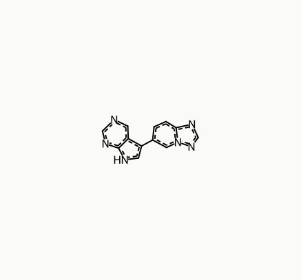 c1ncc2c(-c3ccc4ncnn4c3)c[nH]c2n1